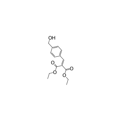 CCOC(=O)C(=Cc1ccc(CO)cc1)C(=O)OCC